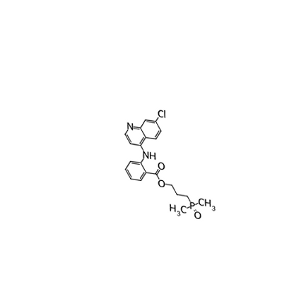 CP(C)(=O)CCCOC(=O)c1ccccc1Nc1ccnc2cc(Cl)ccc12